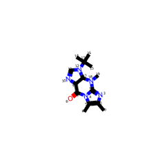 Cc1nc2n(c1C)C(=O)C1N=CN(C(C)(C)C)C1N2C